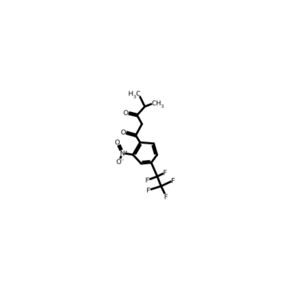 CC(C)C(=O)CC(=O)c1ccc(C(F)(F)C(F)(F)F)cc1[N+](=O)[O-]